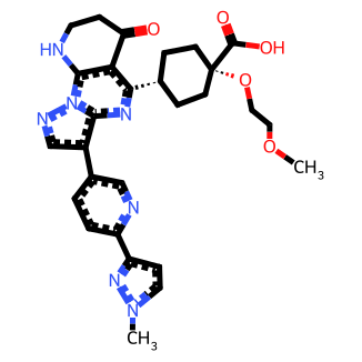 COCCO[C@]1(C(=O)O)CC[C@H](c2nc3c(-c4ccc(-c5ccn(C)n5)nc4)cnn3c3c2C(=O)CCN3)CC1